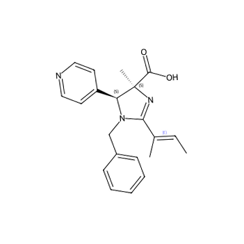 C/C=C(\C)C1=N[C@](C)(C(=O)O)[C@H](c2ccncc2)N1Cc1ccccc1